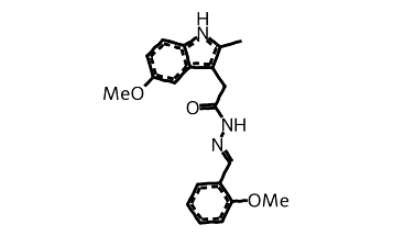 COc1ccc2[nH]c(C)c(CC(=O)NN=Cc3ccccc3OC)c2c1